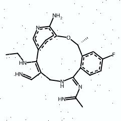 CCN/C1=C(\C=N)CN/C(=N\C(C)=N)c2ccc(F)cc2[C@@H](C)Oc2cc1cnc2N